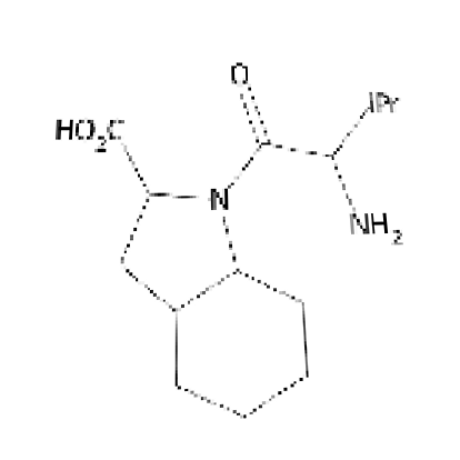 CC(C)C(N)C(=O)N1C(C(=O)O)CC2CCCCC21